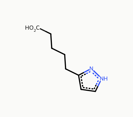 O=C(O)CCCCc1cc[nH]n1